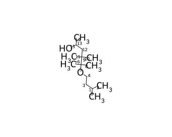 CC(C)CCOC(C)(C)C(C)(C)CC(C)O